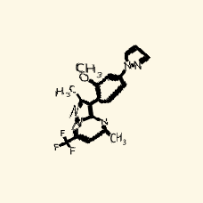 COc1cc(-n2cccn2)ccc1-c1c(C)nn2c(C(F)(F)F)cc(C)nc12